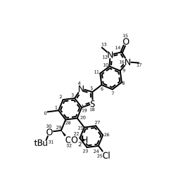 Cc1cc2nc(-c3ccc4c(c3)n(C)c(=O)n4C)sc2c(-c2ccc(Cl)cc2)c1[C@H](OC(C)(C)C)C(=O)O